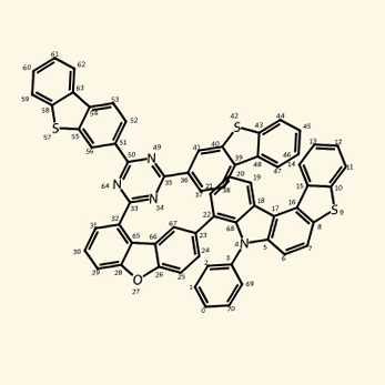 c1ccc(-n2c3ccc4sc5ccccc5c4c3c3cccc(-c4ccc5oc6cccc(-c7nc(-c8ccc9c(c8)sc8ccccc89)nc(-c8ccc9c(c8)sc8ccccc89)n7)c6c5c4)c32)cc1